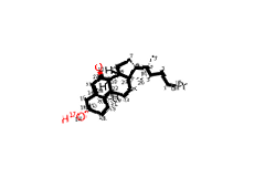 CC(C)CCC[C@@H](C)[C@H]1CC[C@H]2[C@@H]3C(=O)C=C4C[C@@H]([17OH])CC[C@]4(C)[C@H]3CC[C@]12C